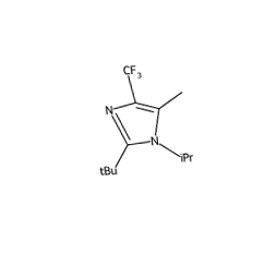 Cc1c(C(F)(F)F)nc(C(C)(C)C)n1C(C)C